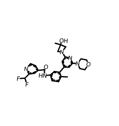 Cc1ccc(NC(=O)c2ccnc(C(F)F)c2)cc1-c1cc(N2CCOCC2)nc(N2CC(C)(O)C2)c1